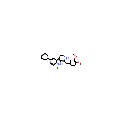 COc1ccc(CC2NCCc3c2[nH]c2ccc(C4CCCCC4)cc32)cc1OC.Cl